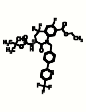 CCOC(=O)c1cc2c(cc1F)C(F)(F)C[C@@H](NC(=O)OC(C)(C)C)C(=O)N2Cc1ccc(-c2ccc(C(F)(F)F)cn2)cc1